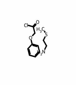 CSCCN.O=C(Cl)COc1ccccc1